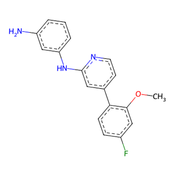 COc1cc(F)ccc1-c1ccnc(Nc2cccc(N)c2)c1